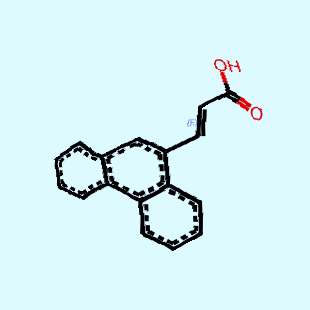 O=C(O)/C=C/c1cc2ccccc2c2ccccc12